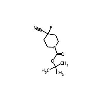 CC(C)(C)OC(=O)N1CCC(F)(C#N)CC1